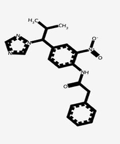 CC(C)C(c1ccc(NC(=O)Cc2ccccc2)c([N+](=O)[O-])c1)n1cncn1